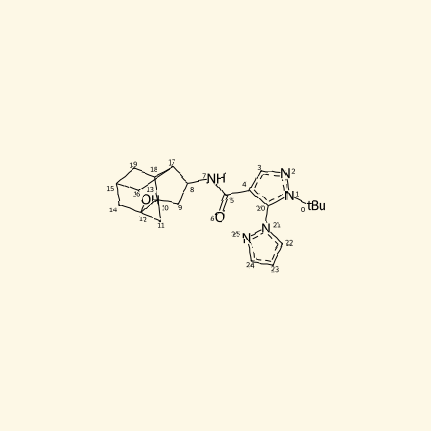 CC(C)(C)n1ncc(C(=O)NC2CC34CC3(O)CC3CC2C4C3)c1-n1cccn1